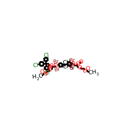 C=CC(=O)OCCOCC(COc1c(Br)cc(C(C)(C)c2cc(Br)c(OCC(COCCOC(=O)C=C)OC(=O)CC(c3ccc(Cl)cc3)(c3ccc(Cl)cc3)c3ccc(Cl)cc3)c(Br)c2)cc1Br)OC=O